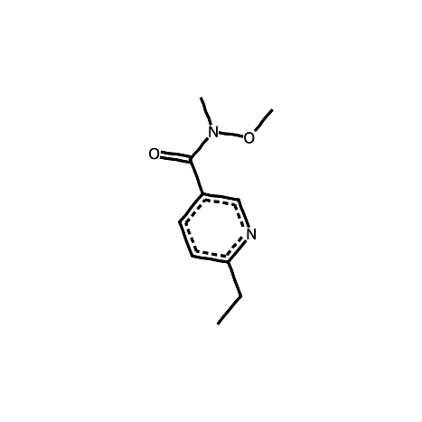 CCc1ccc(C(=O)N(C)OC)cn1